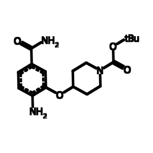 CC(C)(C)OC(=O)N1CCC(Oc2cc(C(N)=O)ccc2N)CC1